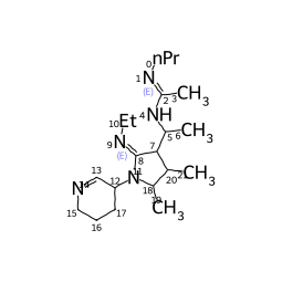 CCC/N=C(\C)NC(C)C1/C(=N\CC)N(C2C=NCCC2)C(C)C1C